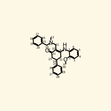 COc1ccccc1NC1=C(CN(C)Cc2ccccc2)C(=O)CC(c2ccccc2)C1